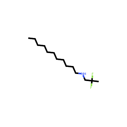 CCCCCCCCCCCNCC(C)(F)F